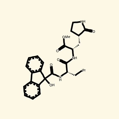 COC(=O)[C@H](C[C@@H]1CCNC1=O)NC(=O)[C@H](CC(C)C)NC(=O)C1(O)c2ccccc2-c2ccccc21